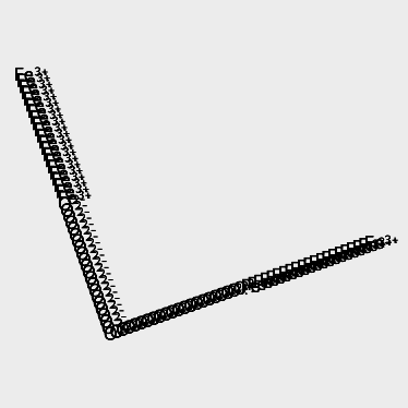 [Fe+3].[Fe+3].[Fe+3].[Fe+3].[Fe+3].[Fe+3].[Fe+3].[Fe+3].[Fe+3].[Fe+3].[Fe+3].[Fe+3].[Fe+3].[Fe+3].[Fe+3].[Fe+3].[Fe+3].[Fe+3].[Fe+3].[Fe+3].[Fe+3].[Fe+3].[Fe+3].[Fe+3].[Fe+3].[Fe+3].[Fe+3].[Fe+3].[Fe+3].[Fe+3].[Fe+3].[Fe+3].[Fe+3].[Fe+3].[Fe+3].[Fe+3].[Fe+3].[Fe+3].[Fe+3].[Fe+3].[Fe+3].[Fe+3].[O-2].[O-2].[O-2].[O-2].[O-2].[O-2].[O-2].[O-2].[O-2].[O-2].[O-2].[O-2].[O-2].[O-2].[O-2].[O-2].[O-2].[O-2].[O-2].[O-2].[O-2].[O-2].[O-2].[O-2].[O-2].[O-2].[O-2].[O-2].[O-2].[O-2].[O-2].[O-2].[O-2].[O-2].[O-2].[O-2].[O-2].[O-2].[O-2].[O-2].[O-2].[O-2].[O-2]